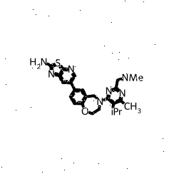 CNCc1nc(C)c(C(C)C)c(N2CCOc3ccc(-c4cnc5sc(N)nc5c4)cc3C2)n1